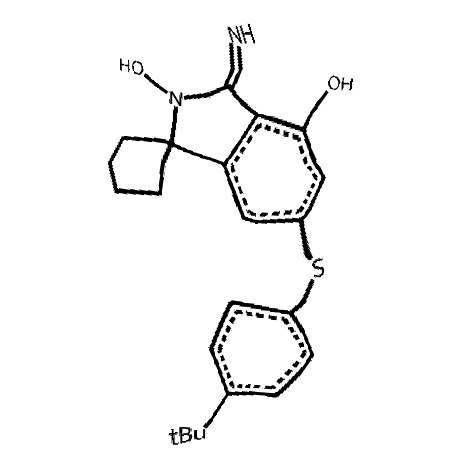 CC(C)(C)c1ccc(Sc2cc(O)c3c(c2)C2(CCC2)N(O)C3=N)cc1